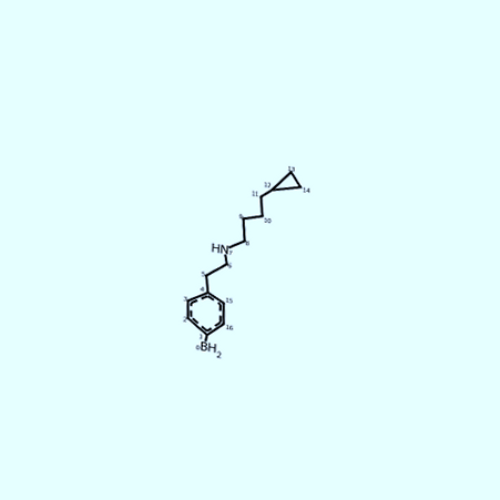 Bc1ccc(CCNCCCCC2CC2)cc1